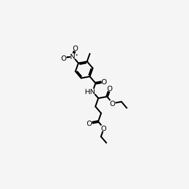 CCOC(=O)CCC(NC(=O)c1ccc([N+](=O)[O-])c(C)c1)C(=O)OCC